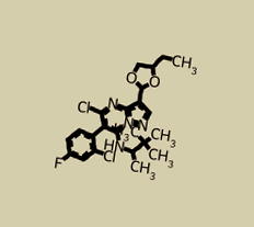 CCC1COC(c2cnn3c(NC(C)C(C)(C)C)c(-c4ccc(F)cc4Cl)c(Cl)nc23)O1